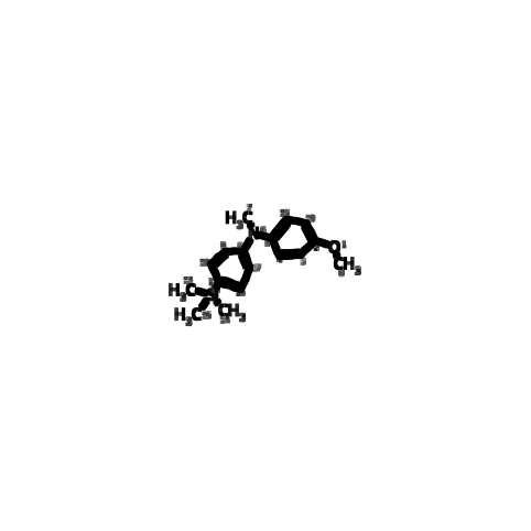 COc1ccc(N(C)c2ccc([Si](C)(C)C)cc2)cc1